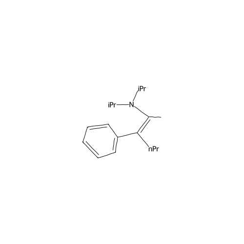 CCCC(=C(C)N(C(C)C)C(C)C)c1ccccc1